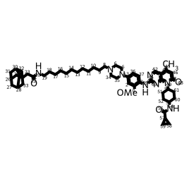 COc1cc(N2CCN(CCCCCCCCCCCCNC(=O)CC34CC5CC(CC(C5)C3)C4)CC2)ccc1Nc1ncc2c(C)cc(=O)n(C3CCC(NC(=O)C4CC4)CC3)c2n1